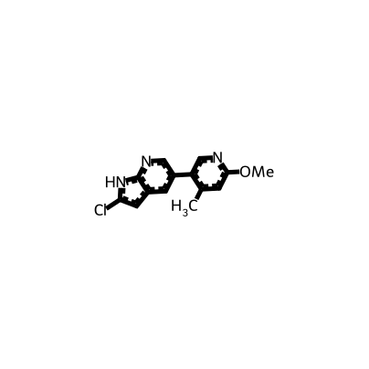 COc1cc(C)c(-c2cnc3[nH]c(Cl)cc3c2)cn1